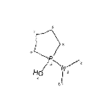 CN(C)[P]1(O)CCCC1